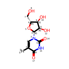 [3H]c1cn([C@@H]2O[C@H](CO)[C@@H](O)[C@H]2O)c(=O)[nH]c1=O